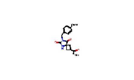 COC(=O)C1CC2(C1)NC(=O)N(Cc1ccc(OC)cc1)C2=O